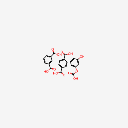 O=C(O)Oc1cccc(O)c1.O=C(O)c1ccc(C(=O)O)cc1.O=C(O)c1cccc(C(=O)O)c1